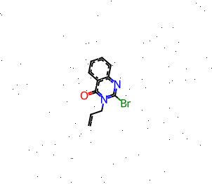 C=CCn1c(Br)nc2ccccc2c1=O